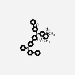 CC1(C)CCC(C)(C)c2cc(N(c3ccc(-c4ccc(N(c5ccccc5)c5cccc(-c6ccccc6)c5)cc4)cc3)c3ccc4c(c3)oc3ccccc34)ccc21